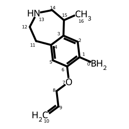 Bc1cc2c(cc1OCC=C)CCNCC2C